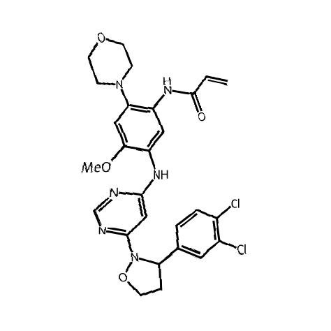 C=CC(=O)Nc1cc(Nc2cc(N3OCCC3c3ccc(Cl)c(Cl)c3)ncn2)c(OC)cc1N1CCOCC1